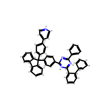 c1ccc(-c2nc(-c3ccc(C4(c5ccc(-c6ccncc6)cc5)c5ccccc5-c5ccccc54)cc3)nc(-c3ccccc3-c3ccccc3)n2)cc1